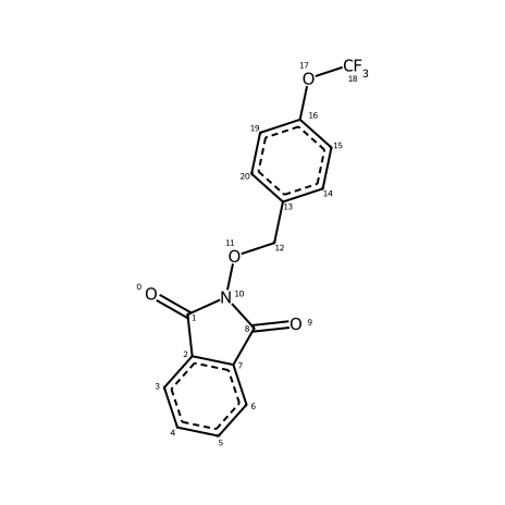 O=C1c2ccccc2C(=O)N1OCc1ccc(OC(F)(F)F)cc1